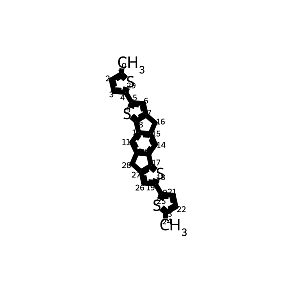 Cc1ccc(-c2cc3c(s2)-c2cc4c(cc2C3)-c2sc(-c3ccc(C)s3)cc2C4)s1